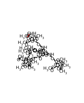 CC(=O)NC1C(OCCOCCNC(=O)CN(CC(=O)NCCOCCOC2OC(COC(C)=O)C(OC(C)=O)C(OC(C)=O)C2NC(C)=O)C(=O)CCC(NCC(=O)c2ccc(OP(OCCC#N)N(C(C)C)C(C)C)cc2)C(=O)NCCOCCOC2OC(COC(C)=O)C(OC(C)=O)C(OC(C)=O)C2NC(C)=O)OC(COC(C)=O)C(OC(C)=O)C1OC(C)=O